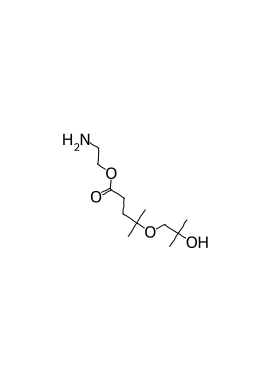 CC(C)(O)COC(C)(C)CCC(=O)OCCN